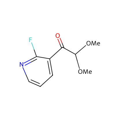 COC(OC)C(=O)c1cccnc1F